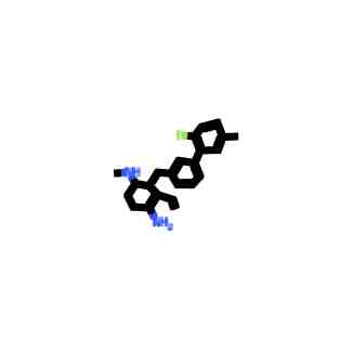 C=CC1=C(N)CCC(NC)C1Cc1cccc(-c2cc(C)ccc2F)c1